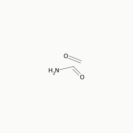 C=O.NC=O